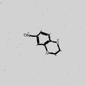 O=Nc1ccc2c(c1)OCCO2